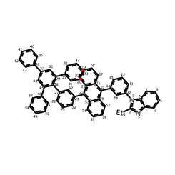 CCc1nc2ccccc2n1-c1cccc(-c2c3ccccc3c(-c3cccc(-c4c(-c5ccccc5)cc(-c5ccccc5)cc4-c4ccccc4)c3)c3ccccc23)c1